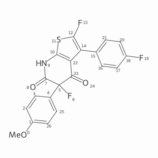 COc1ccc(C2(F)C(=O)Nc3sc(F)c(-c4ccc(F)cc4)c3C2=O)cc1